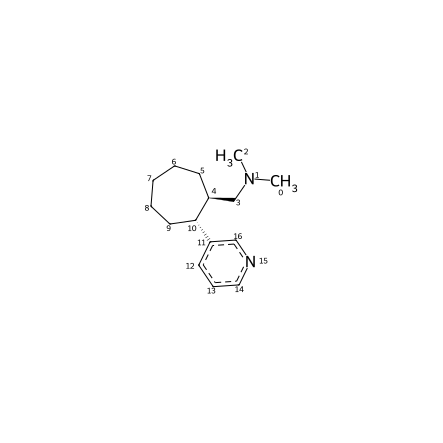 CN(C)C[C@@H]1CCCCC[C@H]1c1cccnc1